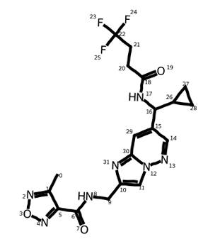 Cc1nonc1C(=O)NCc1cn2ncc(C(NC(=O)CCC(F)(F)F)C3CC3)cc2n1